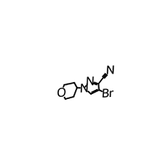 N#Cc1nn(C2CCOCC2)cc1Br